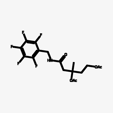 CC(=O)OCCC(C)(CC(=O)NCc1c(F)c(F)c(F)c(F)c1F)OC(C)=O